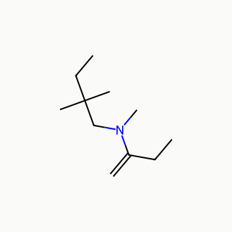 C=C(CC)N(C)CC(C)(C)CC